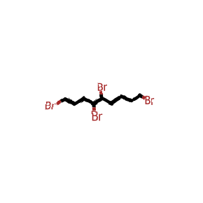 BrCCCCC(Br)C(Br)CCCBr